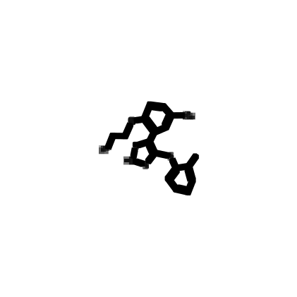 CCC(C)c1ccc(OCCC(C)C)c(C2=C(Sc3ccccc3C)SNS2)c1